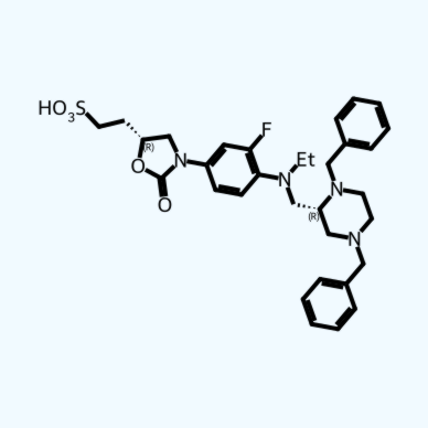 CCN(C[C@H]1CN(Cc2ccccc2)CCN1Cc1ccccc1)c1ccc(N2C[C@@H](CCS(=O)(=O)O)OC2=O)cc1F